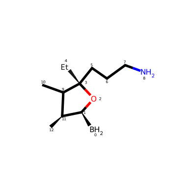 B[C@@H]1O[C@@](CC)(CCCN)C(C)[C@@H]1C